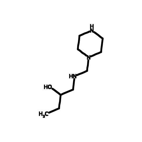 CCC(O)CNCN1CCNCC1